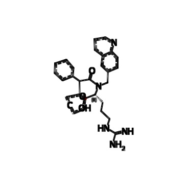 N=C(N)NCCC[C@H](C(=O)O)N(Cc1ccc2ncccc2c1)C(=O)C(c1ccccc1)c1ccccc1